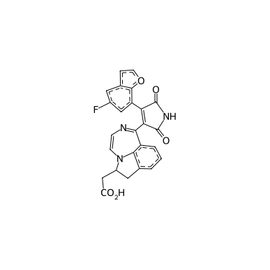 O=C(O)CC1Cc2cccc3c2N1C=CN=C3C1=C(c2cc(F)cc3ccoc23)C(=O)NC1=O